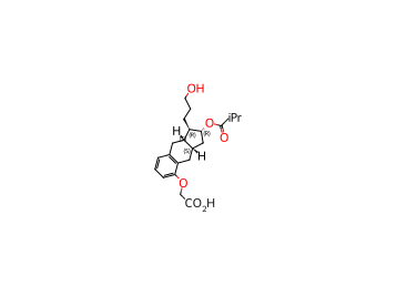 CC(C)C(=O)O[C@@H]1C[C@@H]2Cc3c(cccc3OCC(=O)O)C[C@@H]2[C@H]1CCCO